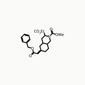 CCOC(=O)C1CC2CC(=CC(=O)OCc3ccccc3)CCC2CN1C(=O)OC